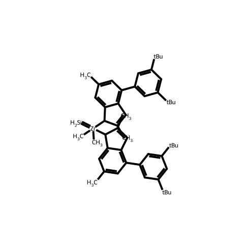 CC1=Cc2c(-c3cc(C(C)(C)C)cc(C(C)(C)C)c3)cc(C)cc2[CH]1[Zr]([CH3])([CH3])(=[SiH2])[CH]1C(C)=Cc2c(-c3cc(C(C)(C)C)cc(C(C)(C)C)c3)cc(C)cc21